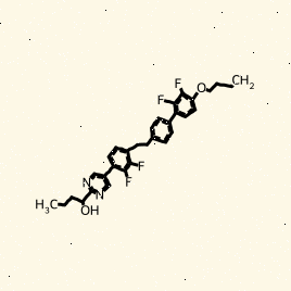 C=CCCOc1ccc(-c2ccc(CCc3ccc(-c4cnc(C(O)CCC)nc4)c(F)c3F)cc2)c(F)c1F